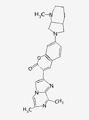 Cc1cn2cc(-c3cc4ccc(N5CC6CCCN(C)C6C5)cc4oc3=O)nc2c(C)n1